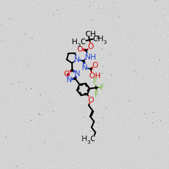 CCCCC=CCOc1ccc(-c2noc(C3CCCN3C(=NC(=O)O)NC(=O)OC(C)(C)C)n2)cc1C(F)(F)F